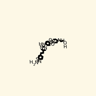 Nc1nc2ccc(C=Cc3cnc(Nc4ccc(S(=O)(=O)N5CCC(NCCO)CC5)cc4)nc3)cc2s1